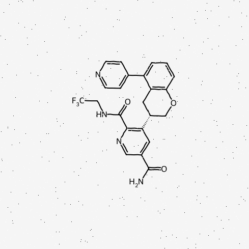 NC(=O)c1cnc(C(=O)NCC(F)(F)F)c([C@H]2COc3cccc(-c4ccncc4)c3C2)c1